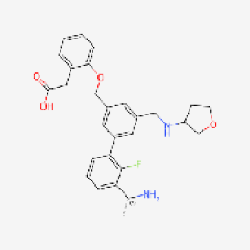 C[C@@H](N)c1cccc(-c2cc(CNC3CCOC3)cc(COc3ccccc3CC(=O)O)c2)c1F